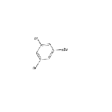 CCCCc1cc(Br)cc(Br)c1